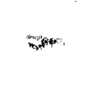 CCCCCCCC(COC(C)COC(C)COC=C(C)C)OC(=O)NCC(F)(F)CCC(F)(F)F